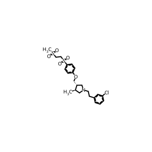 C[C@@H]1CN(CCc2cccc(Cl)c2)C[C@H]1COc1ccc(S(=O)(=O)CCS(C)(=O)=O)cc1